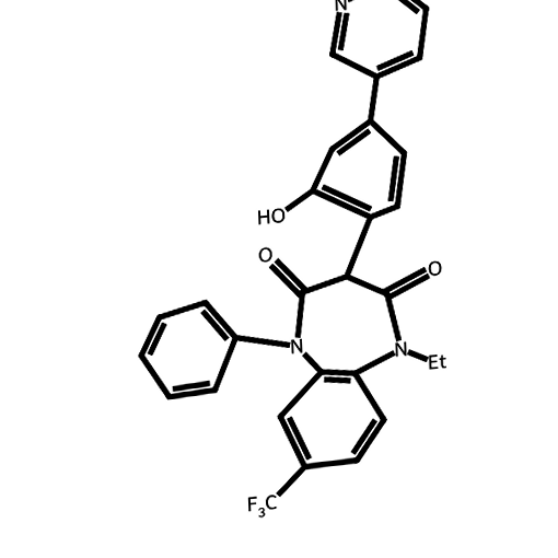 CCN1C(=O)C(c2ccc(-c3cccnc3)cc2O)C(=O)N(c2ccccc2)c2cc(C(F)(F)F)ccc21